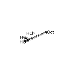 CCCCCCCCC=CCCCCCCCCCCCCCN(CCO)CCO.Cl